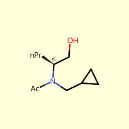 CCC[C@@H](CO)N(CC1CC1)C(C)=O